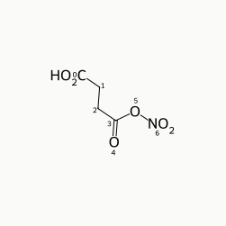 O=C(O)CCC(=O)O[N+](=O)[O-]